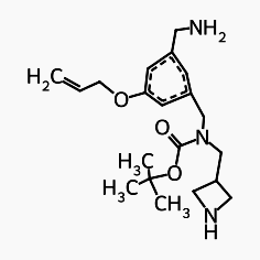 C=CCOc1cc(CN)cc(CN(CC2CNC2)C(=O)OC(C)(C)C)c1